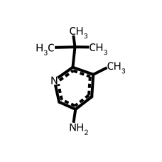 Cc1cc(N)cnc1C(C)(C)C